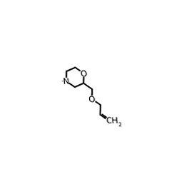 C=CCOCC1C[N]CCO1